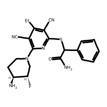 CCc1c(C#N)c(SC(C(N)=O)c2ccccc2)nc(N2CC[C@H](N)[C@@H](F)C2)c1C#N